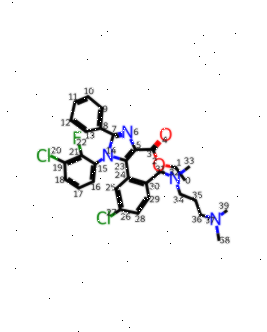 CCOC(=O)c1nc(-c2ccccc2)n(-c2cccc(Cl)c2F)c1-c1cc(Cl)ccc1CN(C)CCCN(C)C